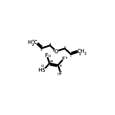 C=CCOCC=C.FC(F)=C(F)S